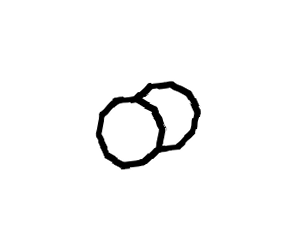 C1CCCC2CCCCCCC(CC1)CC2